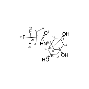 CCC(C)(C(=O)NC12CC3(O)CC(O)(CC(O)(C3)C1)C2)C(F)(F)F